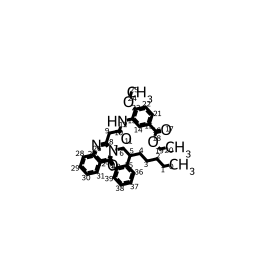 CCCCCC(Cn1c(CC(=O)Nc2cc(C(=O)OCC)ccc2OC)nc2ccccc2c1=O)c1ccccc1